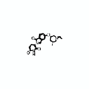 CCN1C[C@@H](C)C[C@@H](Oc2ccc3c(c2)CN([C@H]2CCC(=O)NC2=O)C3=O)C1